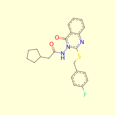 O=C(CC1CCCC1)Nn1c(SCc2ccc(F)cc2)nc2ccccc2c1=O